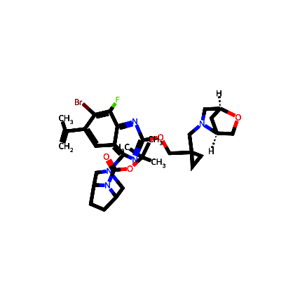 C=C(C)c1cc2c(N3CC4CCC(C3)N4C(=O)OC(C)(C)C)nc(OCC3(CN4C[C@@H]5C[C@H]4CO5)CC3)nc2c(F)c1Br